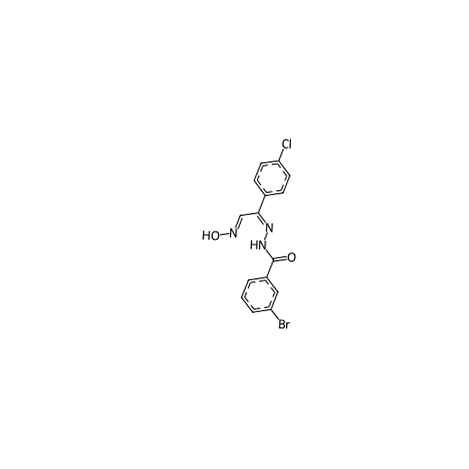 O=C(NN=C(C=NO)c1ccc(Cl)cc1)c1cccc(Br)c1